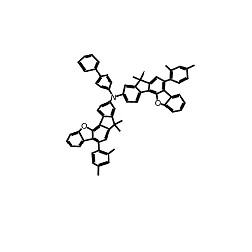 Cc1ccc(-c2cc3c(c4oc5ccccc5c24)-c2ccc(N(c4ccc(-c5ccccc5)cc4)c4ccc5c(c4)C(C)(C)c4cc(-c6ccc(C)cc6C)c6c(oc7ccccc76)c4-5)cc2C3(C)C)c(C)c1